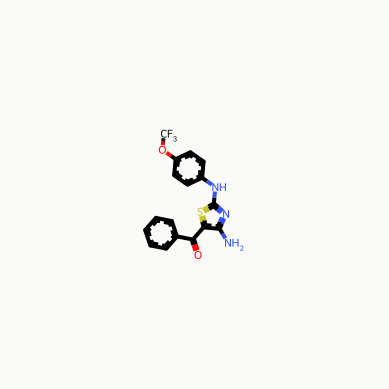 Nc1nc(Nc2ccc(OC(F)(F)F)cc2)sc1C(=O)c1ccccc1